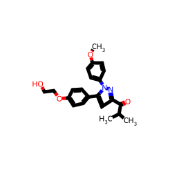 COc1ccc(-n2nc(C(=O)C(C)C)cc2-c2ccc(OCCO)cc2)cc1